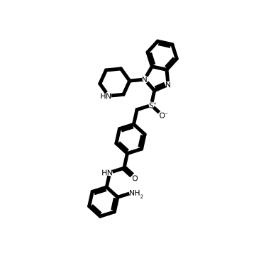 Nc1ccccc1NC(=O)c1ccc(C[S+]([O-])c2nc3ccccc3n2C2CCCNC2)cc1